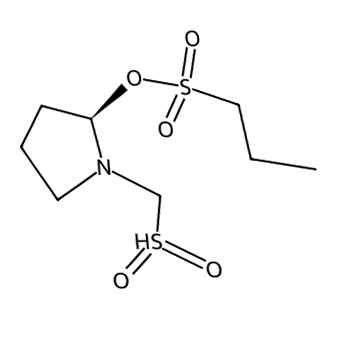 CCCS(=O)(=O)O[C@@H]1CCCN1C[SH](=O)=O